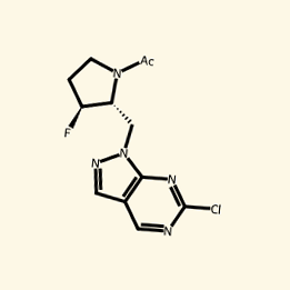 CC(=O)N1CC[C@H](F)[C@H]1Cn1ncc2cnc(Cl)nc21